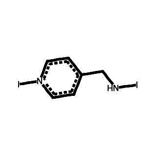 INCc1cc[n+](I)cc1